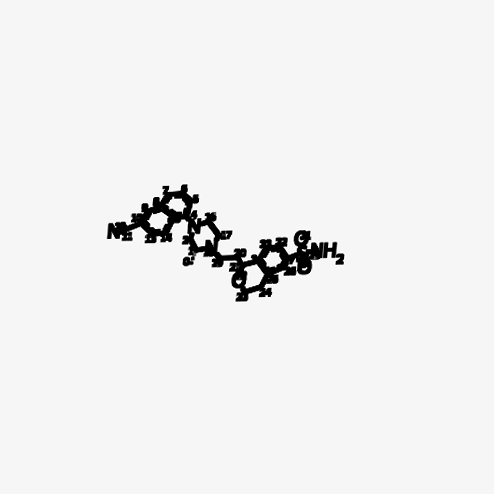 C[C@@H]1CN(c2cccc3cc(C#N)ccc23)CCN1CC[C@@H]1OCCc2cc(S(N)(=O)=O)ccc21